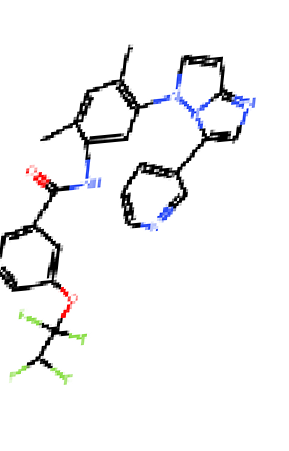 Cc1cc(C)c(-n2ccc3ncc(-c4cccnc4)n32)cc1NC(=O)c1cccc(OC(F)(F)C(F)F)c1